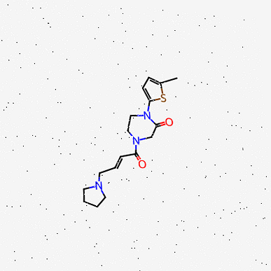 Cc1ccc(N2CCN(C(=O)/C=C/CN3CCCC3)CC2=O)s1